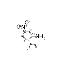 C=C(C)c1ccc([N+](=O)[O-])cc1N